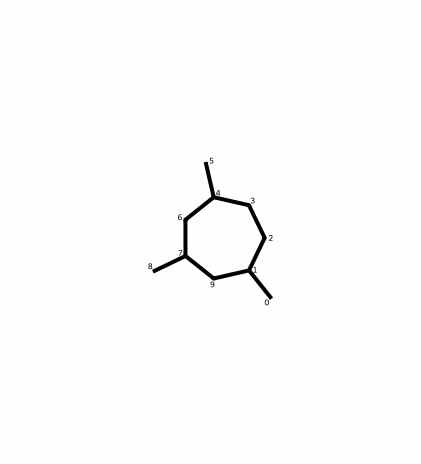 CC1CCC(C)CC(C)C1